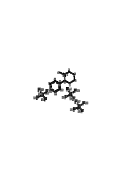 CN1CCCCC1c1ccccc1.F[B-](F)(F)F.F[B-](F)(F)F.F[B-](F)(F)F